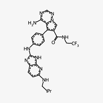 CC(C)CNc1ccc2nc(Nc3ccc(-c4c(C(=O)NCC(F)(F)F)cn5ncnc(N)c45)cc3)[nH]c2n1